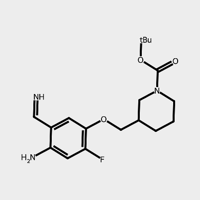 CC(C)(C)OC(=O)N1CCCC(COc2cc(C=N)c(N)cc2F)C1